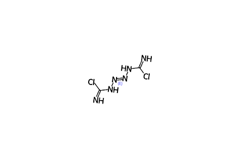 N=C(Cl)N/N=N/NC(=N)Cl